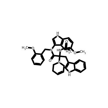 COc1ccc2[nH]cc(N(Cc3ccccc3OC)C(=O)C(Cc3c[nH]c4ccccc34)(NC(C)=O)N3CC=CCC3)c2c1